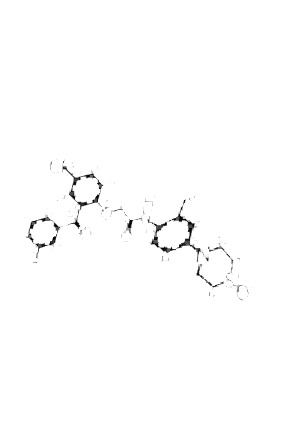 Cc1cc(N2CC[S+]([O-])CC2)ccc1NC(=O)COc1ccc(Cl)cc1C(=O)c1cccc(F)c1